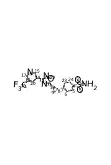 NS(=O)(=O)c1ccc([C@@H]2C[C@H]2c2nc(-c3cncc(C(F)(F)F)c3)no2)cc1